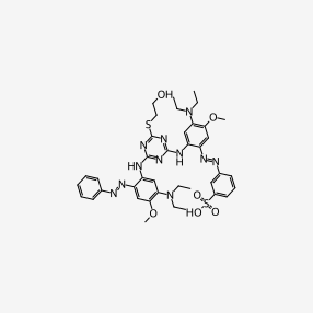 CCN(CC)c1cc(Nc2nc(Nc3cc(N(CC)CC)c(OC)cc3/N=N/c3cccc(S(=O)(=O)O)c3)nc(SCCO)n2)c(/N=N/c2ccccc2)cc1OC